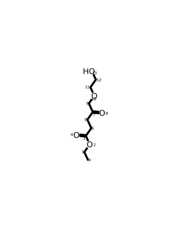 CCOC(=O)CCC(=O)COCCO